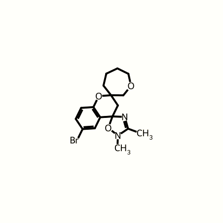 CC1=NC2(CC3(CCCCOC3)Oc3ccc(Br)cc32)ON1C